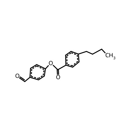 CCCCc1ccc(C(=O)Oc2ccc(C=O)cc2)cc1